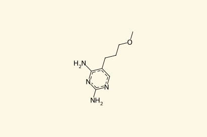 COCCCc1cnc(N)nc1N